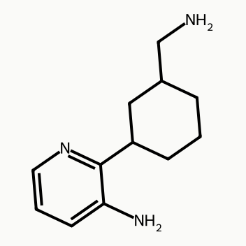 NCC1CCCC(c2ncccc2N)C1